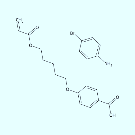 C=CC(=O)OCCCCCOc1ccc(C(=O)O)cc1.Nc1ccc(Br)cc1